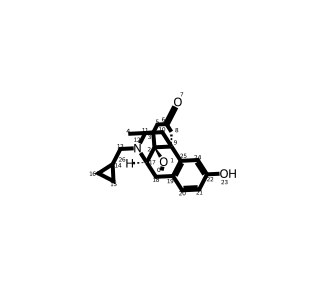 CO[C@@]12C(C)CC(=O)C[C@@]13CCN(CC1CC1)[C@@H]2Cc1ccc(O)cc13